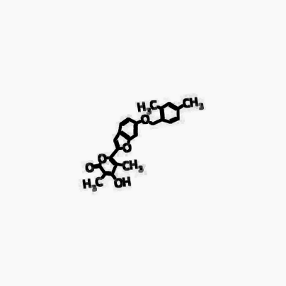 Cc1ccc(COc2ccc3cc(-c4oc(=O)c(C)c(O)c4C)oc3c2)c(C)c1